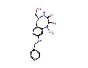 CC(C)C1C(=O)N[C@H](CO)Cc2ccc(NCc3ccccc3)cc2N1C